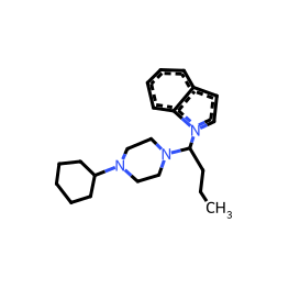 CCCC(N1CCN(C2CCCCC2)CC1)n1ccc2ccccc21